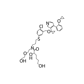 O=C(C(O)CCCCO)N(CCCSc1ccc(Cl)c(COC2(c3cnccc3-c3ccccc3OC3CC3)CC2)c1)CCOCCO